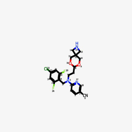 N#Cc1ccc(N(CCC2OCC3(CNC3)CO2)Cc2c(F)cc(Cl)cc2F)nc1